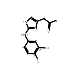 CC(=O)Cc1csc(Nc2ccc(F)c(F)c2)n1